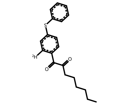 [2H]c1cc(Sc2ccccc2)ccc1C(=O)C(=O)CCCCCC